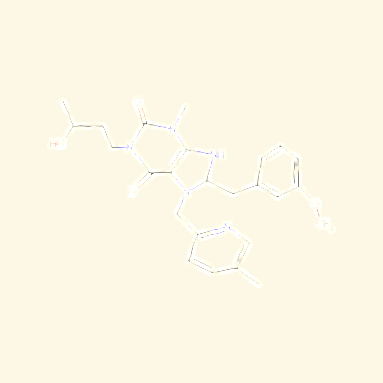 Cc1ccc(CN2c3c(n(C)c(=O)n(CCC(C)O)c3=O)NC2Cc2cccc(OC(F)(F)F)c2)nc1